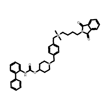 C[N+](C)(CCCCN1C(=O)c2ccccc2C1=O)Cc1ccc(CN2CCC(OC(=O)Nc3ccccc3-c3ccccc3)CC2)cc1